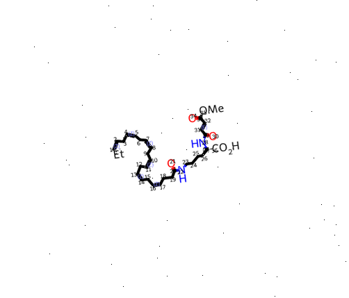 CC/C=C\C/C=C\C/C=C\C/C=C\C/C=C\C/C=C\CCC(=O)NCCCC[C@H](NC(=O)/C=C/C(=O)OC)C(=O)O